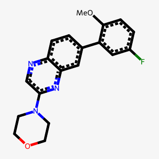 COc1ccc(F)cc1-c1ccc2ncc(N3CCOCC3)nc2c1